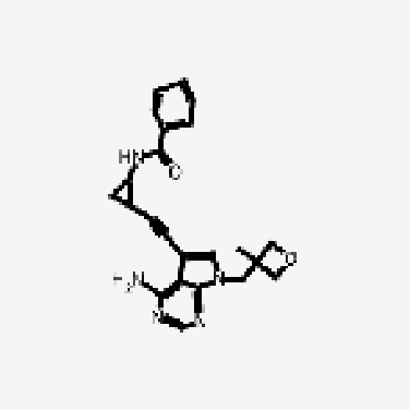 CC1(Cn2cc(C#CC3CC3NC(=O)c3ccccc3)c3c(N)ncnc32)COC1